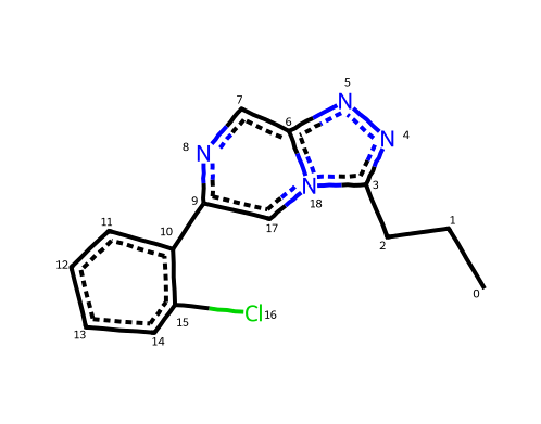 CCCc1nnc2cnc(-c3ccccc3Cl)cn12